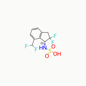 O=S(=O)(O)N[C@H]1c2c(cccc2C(F)F)CC1(F)F